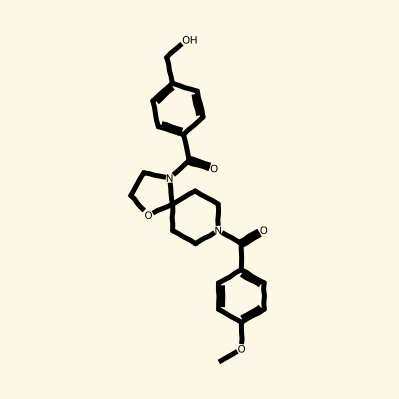 COc1ccc(C(=O)N2CCC3(CC2)OCCN3C(=O)c2ccc(CO)cc2)cc1